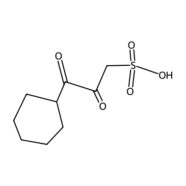 O=C(CS(=O)(=O)O)C(=O)C1CCCCC1